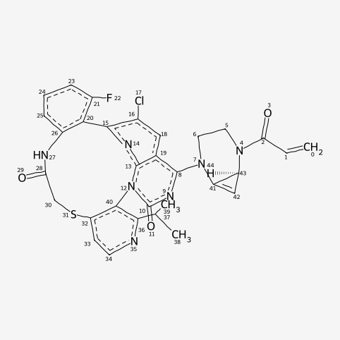 C=CC(=O)N1CCN(c2nc(=O)n3c4nc(c(Cl)cc24)-c2c(F)cccc2NC(=O)CSc2ccnc(C(C)C)c2-3)C2=C[C@@H]21